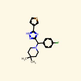 CC1(C)CCN(C(c2ccc(F)cc2)c2n[nH]c(-c3ccsc3)n2)CC1